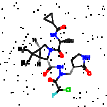 CC(C)(C)[C@H](NC(=O)C1CC1)C(=O)N1C[C@H]2[C@@H]([C@H]1C(=O)NN(C[C@@H]1CCNC1=O)C(=O)[C@H](F)Cl)C2(C)C